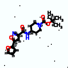 CC(C)(C)OC(=O)N1CCC(NC(=O)c2cc(-c3ccco3)on2)CC1